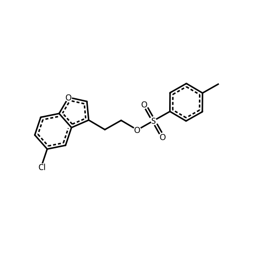 Cc1ccc(S(=O)(=O)OCCc2coc3ccc(Cl)cc23)cc1